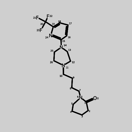 O=C1CCCCN1CCCCN1CCN(c2cccc(C(F)(F)F)n2)CC1